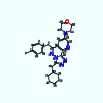 Cc1ccc(Cc2nn3c(CC4CCCCC4)nnc3c3ncc(N4CCOCC4)cc23)cc1